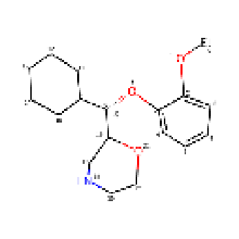 CCOc1ccccc1O[C@@H](C1CCCCC1)C1CNCCO1